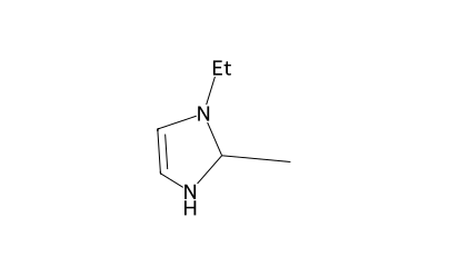 CCN1C=CNC1C